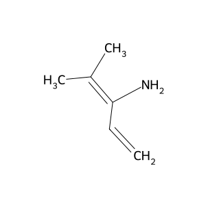 C=CC(N)=C(C)C